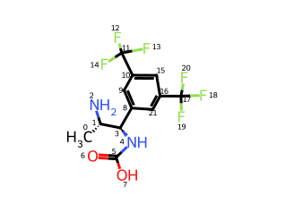 C[C@H](N)[C@H](NC(=O)O)c1cc(C(F)(F)F)cc(C(F)(F)F)c1